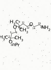 CCCOC(C)(C)CCOC(C)(C)CCOCCN